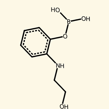 OCCNc1ccccc1OB(O)O